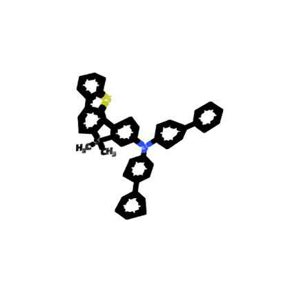 C[Si]1(C)c2cc(N(c3ccc(-c4ccccc4)cc3)c3ccc(-c4ccccc4)cc3)ccc2-c2c1ccc1c2sc2ccccc21